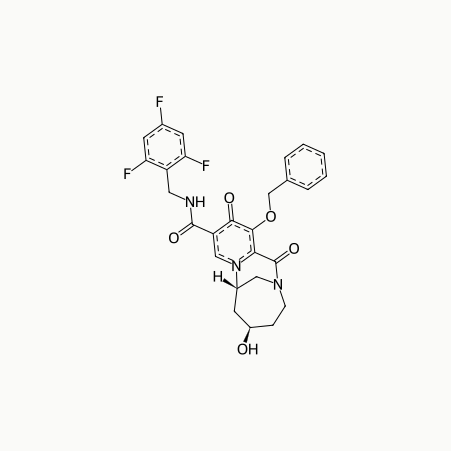 O=C(NCc1c(F)cc(F)cc1F)c1cn2c(c(OCc3ccccc3)c1=O)C(=O)N1CC[C@@H](O)C[C@H]2C1